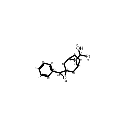 CCC(O)N1C2CCC1CC1(C2)OC1c1ccccc1